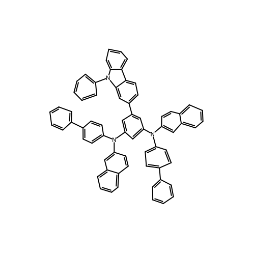 c1ccc(-c2ccc(N(c3cc(-c4ccc5c6ccccc6n(-c6ccccc6)c5c4)cc(N(c4ccc(-c5ccccc5)cc4)c4ccc5ccccc5c4)c3)c3ccc4ccccc4c3)cc2)cc1